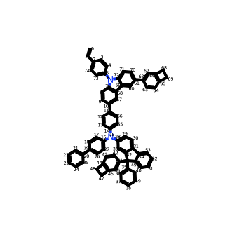 C=Cc1ccc(-n2c3ccc(-c4ccc(N(c5ccc(-c6ccccc6)cc5)c5ccc6c(c5)C(c5ccccc5)(c5ccc7c(c5)CC7)c5ccccc5-6)cc4)cc3c3cc(-c4ccc5c(c4)CC5)ccc32)cc1